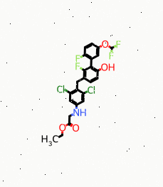 CCOC(=O)CNc1cc(Cl)c(Cc2ccc(O)c(-c3cc(OC(F)F)ccc3F)c2F)c(Cl)c1